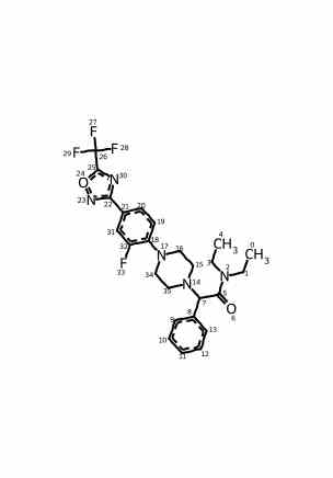 CCN(CC)C(=O)C(c1ccccc1)N1CCN(c2ccc(-c3noc(C(F)(F)F)n3)cc2F)CC1